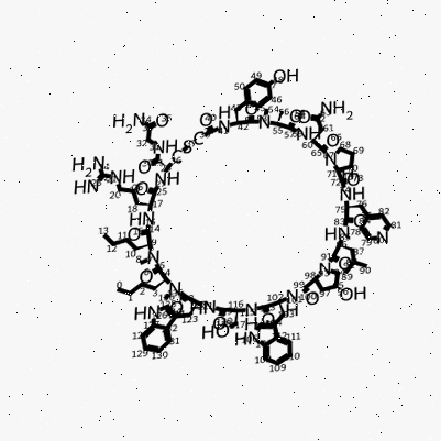 CCCC[C@H]1C(=O)N(C)[C@@H](CCCC)C(=O)N[C@@H](CCCNC(=N)N)C(=O)N[C@H](C(=O)NCC(N)=O)CSCC(=O)N[C@@H](Cc2ccc(O)cc2)C(=O)N(C)[C@@H](C)C(=O)N[C@@H](CC(N)=O)C(=O)N2CCC[C@H]2C(=O)N[C@@H](Cc2ccncc2)C(=O)N[C@@H](CC(C)C)C(=O)N2C[C@H](O)CC2C(=O)N[C@@H](Cc2c[nH]c3ccccc23)C(=O)N[C@@H](CO)C(=O)N[C@@H](Cc2c[nH]c3ccccc23)C(=O)N1C